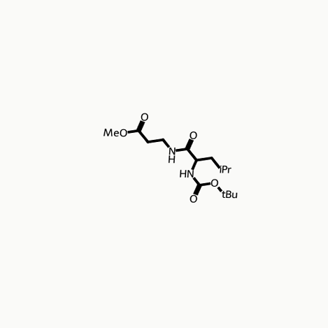 COC(=O)CCNC(=O)C(CC(C)C)NC(=O)OC(C)(C)C